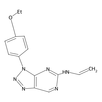 C=CNc1ncc2nnn(-c3ccc(OCC)cc3)c2n1